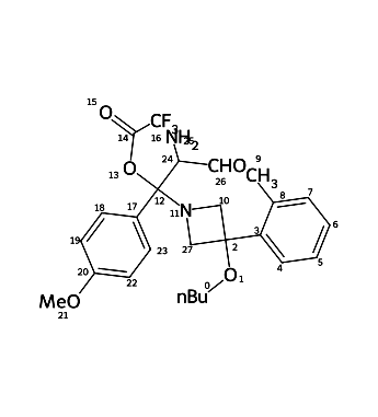 CCCCOC1(c2ccccc2C)CN(C(OC(=O)C(F)(F)F)(c2ccc(OC)cc2)C(N)C=O)C1